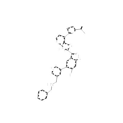 CC(=O)c1ccc(-c2ccnc3[nH]c(-c4n[nH]c5cc(F)c(-c6cncc(CNCc7ccccc7)c6)cc45)nc23)s1